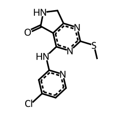 CSc1nc2c(c(Nc3cc(Cl)ccn3)n1)C(=O)NC2